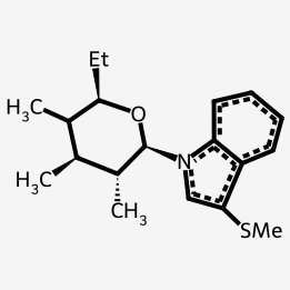 CC[C@H]1O[C@@H](n2cc(SC)c3ccccc32)[C@H](C)[C@@H](C)C1C